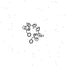 O=C(Cc1ccccc1)N1CCC[C@H]1c1ncc(-c2cnc(-c3ncc(C4=CNC([C@@H]5CCCN5C(=O)Cc5ccccc5)N4)s3)s2)[nH]1